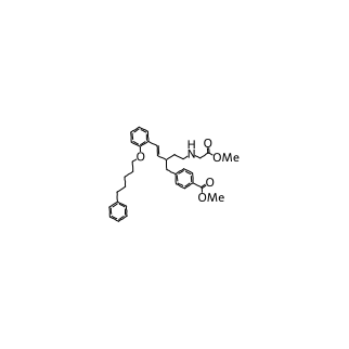 COC(=O)CNCCC(/C=C/c1ccccc1OCCCCCc1ccccc1)Cc1ccc(C(=O)OC)cc1